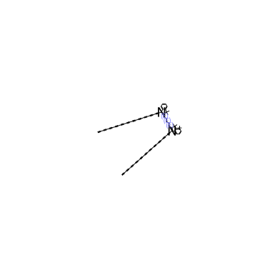 C#CC#CC#CC#CC#CC#CC#CC#CC#CC#CC#CN1/C(=C/C=C/C=C/C2=[N+](C#CC#CC#CC#CC#CC#CC#CC#CC#CC#CC#C)c3ccccc3C2(C)C)C(C)(C)c2ccccc21